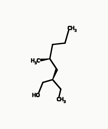 CCC[C@H](C)C[C@@H](CC)CO